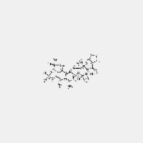 [2H]c1c(OC([2H])([2H])[2H])c(OC([2H])([2H])[2H])c([2H])c2c(N)nc(N3C([2H])([2H])C([2H])([2H])N(C(=O)C4CCCO4)C([2H])([2H])C3([2H])[2H])nc12